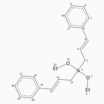 CCO[Si](CC=Cc1ccccc1)(CC=Cc1ccccc1)OCC